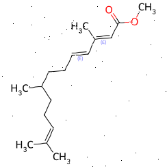 COC(=O)/C=C(C)/C=C/CCC(C)CCC=C(C)C